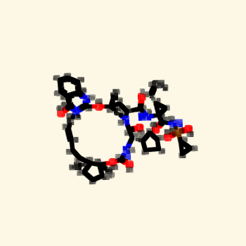 C=C[C@@H]1C[C@]1(NC(=O)[C@@H]1C[C@@H]2CN1C(=O)[C@H](C1CCCC1)NC(=O)O[C@@H]1CCC[C@H]1CC/C=C/Cn1c(nc3ccccc3c1=O)O2)C(=O)NS(=O)(=O)C1CC1